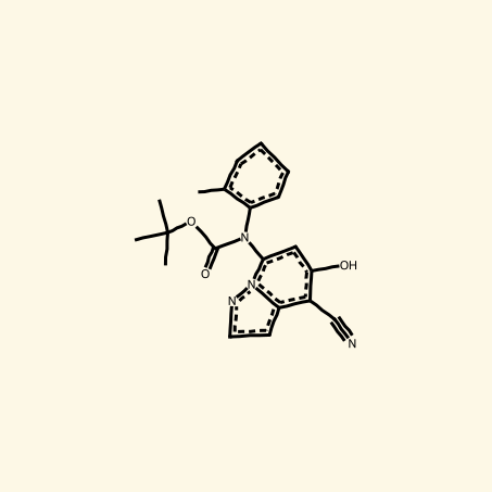 Cc1ccccc1N(C(=O)OC(C)(C)C)c1cc(O)c(C#N)c2ccnn12